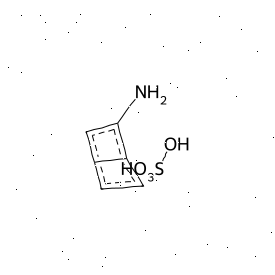 Nc1cc2ccc1-2.O=S(=O)(O)O